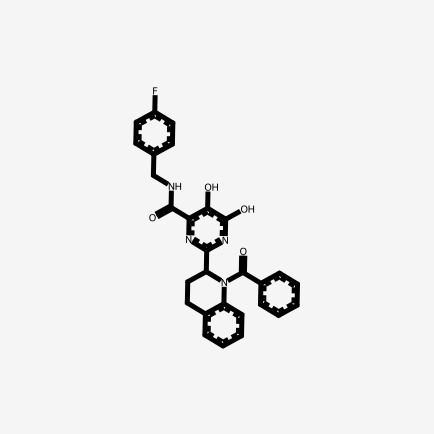 O=C(NCc1ccc(F)cc1)c1nc(C2CCc3ccccc3N2C(=O)c2ccccc2)nc(O)c1O